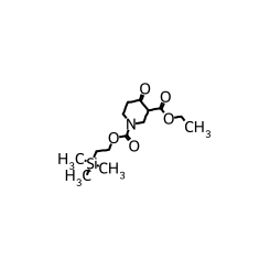 CCOC(=O)C1CN(C(=O)OCC[Si](C)(C)C)CCC1=O